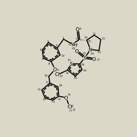 O=C(NCc1cccc(OCc2cccc(OC(F)(F)F)c2)c1)[C@@H]1CCCN1S(=O)(=O)c1ccc(Cl)s1